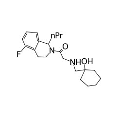 CCCC1c2cccc(F)c2CCN1C(=O)CNCC1(O)CCCCC1